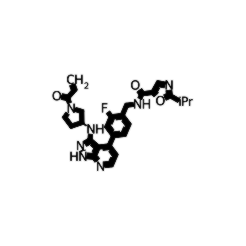 C=CC(=O)N1CC[C@@H](Nc2n[nH]c3nccc(-c4ccc(CNC(=O)c5cnc(C(C)C)o5)c(F)c4)c23)C1